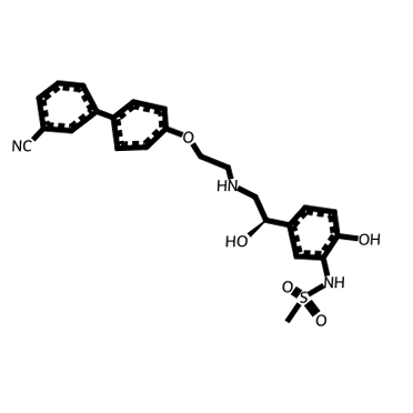 CS(=O)(=O)Nc1cc([C@@H](O)CNCCOc2ccc(-c3cccc(C#N)c3)cc2)ccc1O